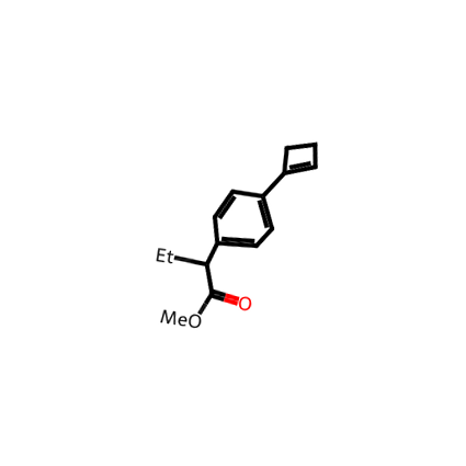 CCC(C(=O)OC)c1ccc(C2=CCC2)cc1